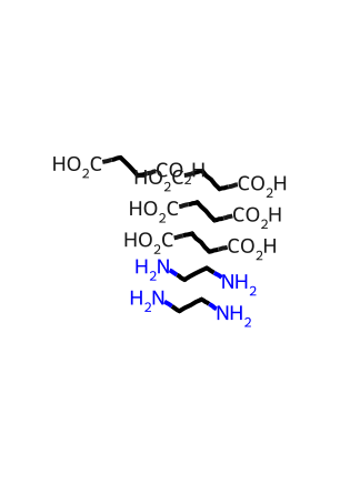 NCCN.NCCN.O=C(O)CCC(=O)O.O=C(O)CCC(=O)O.O=C(O)CCC(=O)O.O=C(O)CCC(=O)O